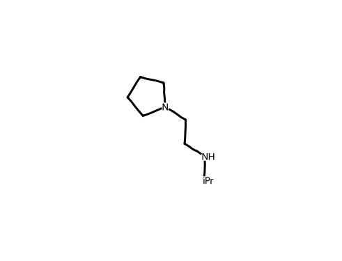 CC(C)NCCN1CCCC1